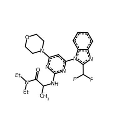 CCN(CC)C(=O)C(C)Nc1nc(N2CCOCC2)cc(-n2c(C(F)F)nc3ccccc32)n1